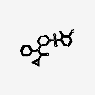 Cc1c(Cl)cccc1S(=O)(=O)N1CCCC(N(C(=O)C2CC2)c2ccccc2)C1